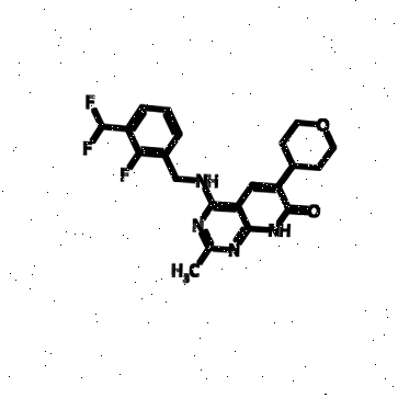 Cc1nc(NCc2cccc(C(F)F)c2F)c2cc(C3CCOCC3)c(=O)[nH]c2n1